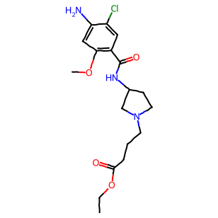 CCOC(=O)CCCN1CCC(NC(=O)c2cc(Cl)c(N)cc2OC)C1